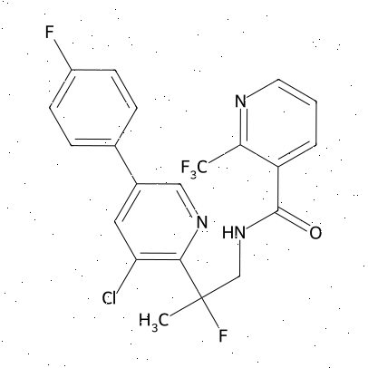 CC(F)(CNC(=O)c1cccnc1C(F)(F)F)c1ncc(-c2ccc(F)cc2)cc1Cl